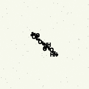 CNCCOCCC(=O)NCCOCCC(=O)OC(C)(C)C